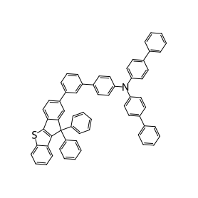 c1ccc(-c2ccc(N(c3ccc(-c4ccccc4)cc3)c3ccc(-c4cccc(-c5ccc6c(c5)C(c5ccccc5)(c5ccccc5)c5c-6sc6ccccc56)c4)cc3)cc2)cc1